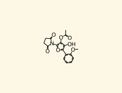 COc1ccccc1-c1oc(N2C(=O)CCC2=O)c(OC(C)=O)c1O